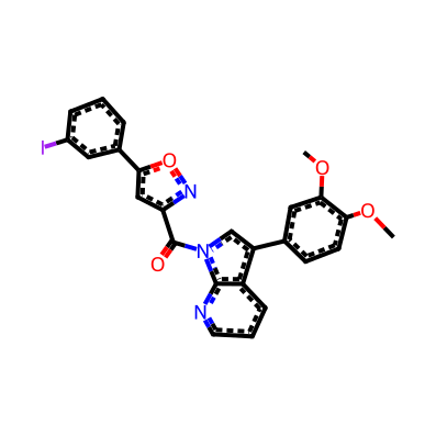 COc1ccc(-c2cn(C(=O)c3cc(-c4cccc(I)c4)on3)c3ncccc23)cc1OC